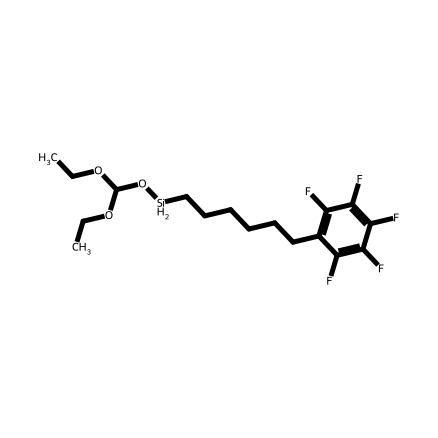 CCOC(OCC)O[SiH2]CCCCCCc1c(F)c(F)c(F)c(F)c1F